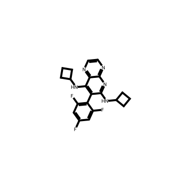 Fc1cc(F)c(-c2c(NC3CCC3)nc3nccnc3c2NC2CCC2)c(F)c1